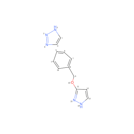 c1c[nH]nn1.c1ccc(COc2cc[nH]n2)cc1